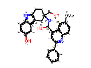 COc1ccc2nc(-c3ccccc3)cc(C(O)NC3(CO)CCc4[nH]c5ccc(O)cc5c4C3)c2c1